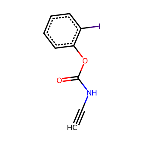 C#CNC(=O)Oc1ccccc1I